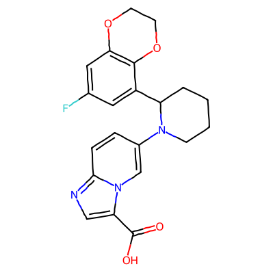 O=C(O)c1cnc2ccc(N3CCCCC3c3cc(F)cc4c3OCCO4)cn12